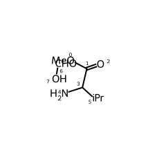 COC(=O)C(N)C(C)C.O=CO